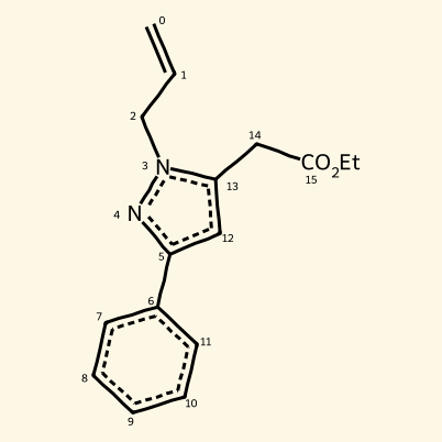 C=CCn1nc(-c2ccccc2)cc1CC(=O)OCC